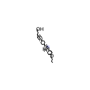 CCCCOC1=CCC(N/C=C\NC2CCC(N3CCN(CCCO)CC3)CC2)C=C1